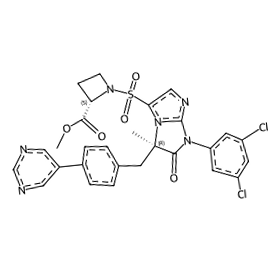 COC(=O)[C@@H]1CCN1S(=O)(=O)c1cnc2n1[C@](C)(Cc1ccc(-c3cncnc3)cc1)C(=O)N2c1cc(Cl)cc(Cl)c1